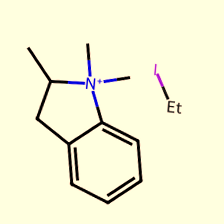 CC1Cc2ccccc2[N+]1(C)C.CCI